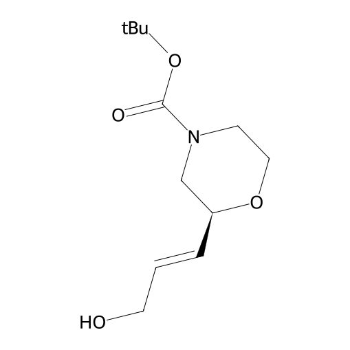 CC(C)(C)OC(=O)N1CCO[C@@H](/C=C/CO)C1